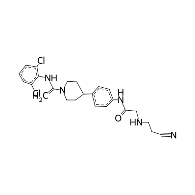 C=C(Nc1c(Cl)cccc1Cl)N1CCC(c2ccc(NC(=O)CNCCC#N)cc2)CC1